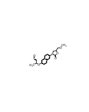 COCC1CN(c2ccc3cc(OC(C)C=S=O)ccc3c2)C(=O)O1